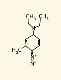 CCN(CC)C1C=CC(=[N+]=[N-])C(C)=C1